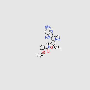 COc1ccccc1C(=O)[N]OC(C)(C)Cc1cc(NC2CCC(N)CC2)c(C#N)c2ccnn12